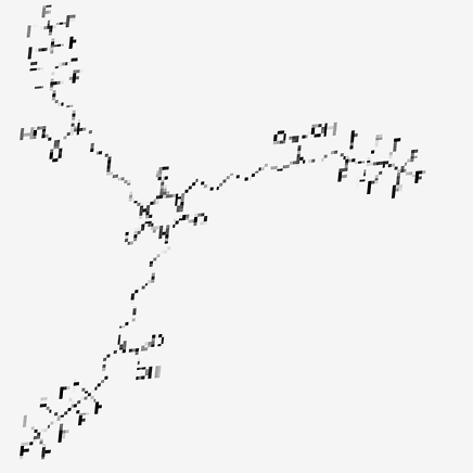 O=C(O)N(CCCCCCn1c(=O)n(CCCCCCN(CCC(F)(F)C(F)(F)C(F)(F)C(F)(F)F)C(=O)O)c(=O)n(CCCCCCN(CCC(F)(F)C(F)(F)C(F)(F)C(F)(F)F)C(=O)O)c1=O)CCC(F)(F)C(F)(F)C(F)(F)C(F)(F)F